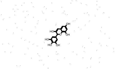 OC1=Cc2cc(O)cc(O)c2OC1c1cc(O)c(O)c(O)c1